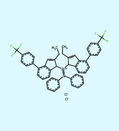 CCC1=Cc2c(-c3ccc(C(F)(F)F)cc3)cccc2[CH]1[Zr+2]([CH]1C(CC)=Cc2c(-c3ccc(C(F)(F)F)cc3)cccc21)=[Si](c1ccccc1)c1ccccc1.[Cl-].[Cl-]